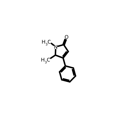 CC1C(c2ccccc2)=CC(=O)N1C